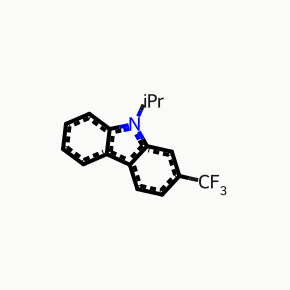 CC(C)n1c2ccccc2c2ccc(C(F)(F)F)cc21